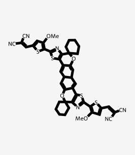 COc1cc(C=C(C#N)C#N)sc1-c1nc2c(s1)C1=CC3C=C4OC5(CCCCC5)c5nc(-c6sc(C=C(C#N)C#N)cc6OC)sc5C4=CC3C=C1OC21CCCCC1